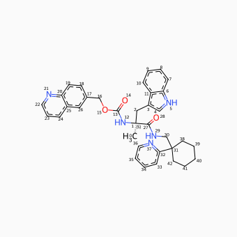 C[C@@](Cc1c[nH]c2ccccc12)(NC(=O)OCc1ccc2ncccc2c1)C(=O)NCC1(c2ccccn2)CCCCC1